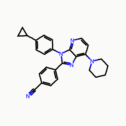 N#Cc1ccc(-c2nc3c(N4CCCCC4)ccnc3n2-c2ccc(C3CC3)cc2)cc1